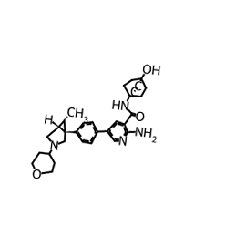 C[C@H]1[C@H]2CN(C3CCOCC3)C[C@]21c1ccc(-c2cnc(N)c(C(=O)NC34CCC(O)(CC3)CC4)c2)cc1